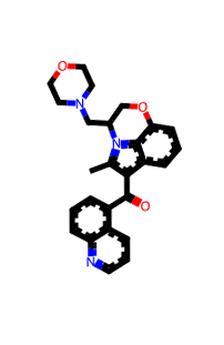 Cc1c(C(=O)c2cccc3ncccc23)c2cccc3c2n1C(CN1CCOCC1)CO3